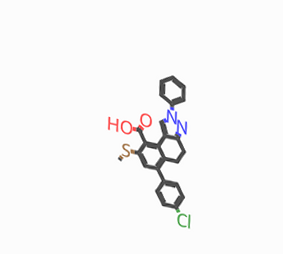 CSc1cc(-c2ccc(Cl)cc2)c2c(c1C(=O)O)-c1cn(-c3ccccc3)nc1CC2